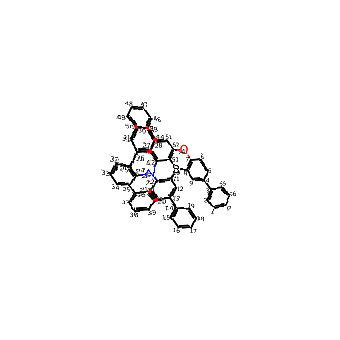 c1ccc(-c2ccc3c(c2)B2c4cc(-c5ccccc5)ccc4N(c4c(-c5ccccc5)cccc4-c4ccccc4)c4cc(-c5ccccc5)cc(c42)O3)cc1